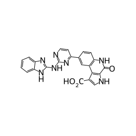 O=C(O)c1c[nH]c2c(=O)[nH]c3ccc(-c4ccnc(Nc5nc6ccccc6[nH]5)n4)cc3c12